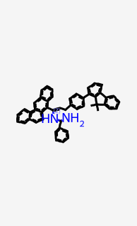 CC1(C)c2ccccc2-c2cccc(-c3ccc(C/C=C(\NC(N)c4ccccc4)c4c5ccccc5cc5c4ccc4ccccc45)cc3)c21